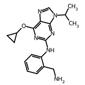 CC(C)n1cnc2c(OC3CC3)nc(Nc3ccccc3CN)nc21